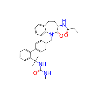 CCC(=O)N[C@@H]1CCc2ccccc2N(Cc2ccc(-c3ccccc3C(C)(C)NC(=O)NC)cc2)C1=O